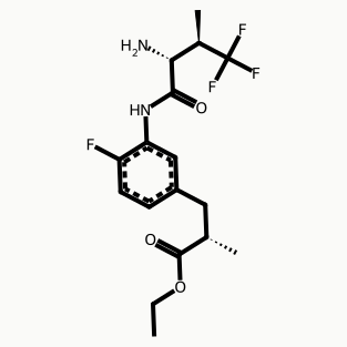 CCOC(=O)[C@@H](C)Cc1ccc(F)c(NC(=O)[C@H](N)[C@@H](C)C(F)(F)F)c1